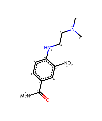 CNC(=O)c1ccc(NCCN(C)C)c([N+](=O)[O-])c1